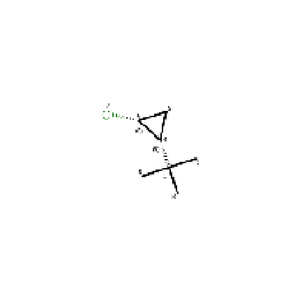 CC(C)(C)[C@H]1C[C@H]1Cl